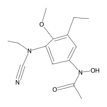 CCc1cc(N(O)C(C)=O)cc(N(C#N)CC)c1OC